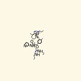 CC/C=C/C=C\C1=C(C)CCCN(Cc2cc(C(OC/C(N)=C/NCCC)C(C)(C)C(=O)Nc3cccnc3)ccc2C)[S+]1[O-]